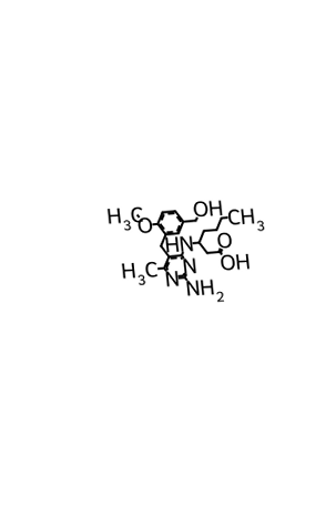 CCCCC(CC(=O)O)Nc1nc(N)nc(C)c1Cc1cc(CO)ccc1OC